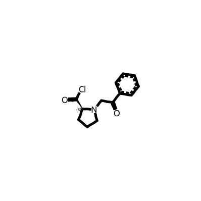 O=C(CN1CCC[C@H]1C(=O)Cl)c1ccccc1